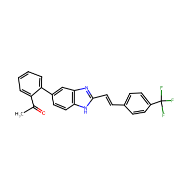 CC(=O)c1ccccc1-c1ccc2[nH]c(C=Cc3ccc(C(F)(F)F)cc3)nc2c1